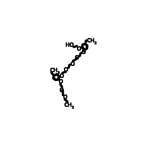 CCCOCCOCCOc1ccc(CC)cc1OCCOCCOCCOCCOc1ccc(CC)cc1OCCO